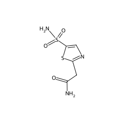 NC(=O)Cc1ncc(S(N)(=O)=O)s1